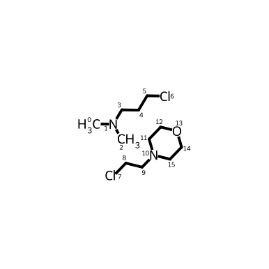 CN(C)CCCCl.ClCCN1CCOCC1